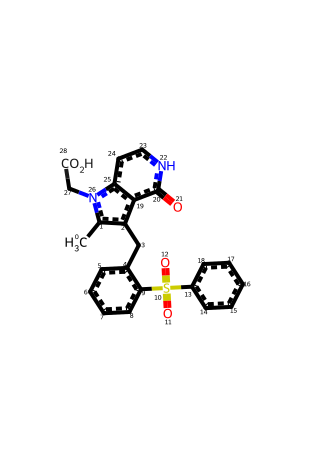 Cc1c(Cc2ccccc2S(=O)(=O)c2ccccc2)c2c(=O)[nH]ccc2n1CC(=O)O